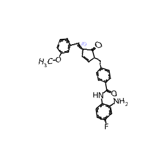 COc1cccc(/C=C2\C=CC(Cc3ccc(C(=O)Nc4ccc(F)cc4N)cc3)C2=O)c1